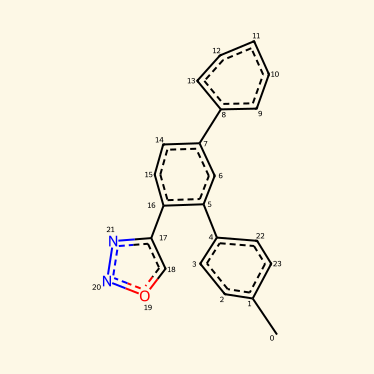 Cc1ccc(-c2cc(-c3ccccc3)ccc2-c2conn2)cc1